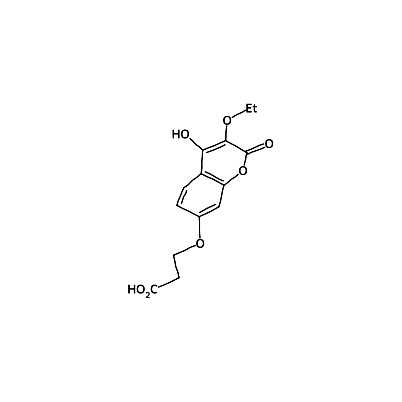 CCOc1c(O)c2ccc(OCCC(=O)O)cc2oc1=O